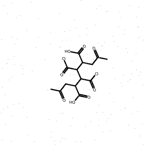 CC(=O)CC(C(=O)O)C(C(=O)Cl)C(C(=O)Cl)C(CC(C)=O)C(=O)O